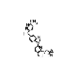 CC(=O)c1ccc(-n2cnc3cc(Nc4ccc(C)nn4)ccc32)nc1NCC1(C#N)CC1